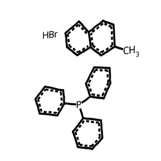 Br.Cc1ccc2ccccc2c1.c1ccc(P(c2ccccc2)c2ccccc2)cc1